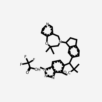 Cc1c(C(c2ccc3c(c2)C(N2Cc4cnccc4OC(C)(C)C2)CC3)C(C)(C)C(=O)O)ccc2c1nnn2C.O=C(O)C(F)(F)F